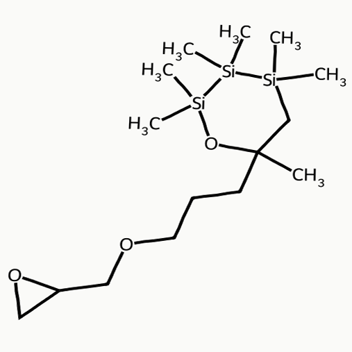 CC1(CCCOCC2CO2)C[Si](C)(C)[Si](C)(C)[Si](C)(C)O1